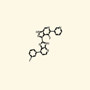 Fc1cccc(-c2ccnc3[nH]c(-c4n[nH]c5cnc(-c6cccnc6)c(F)c45)nc23)c1